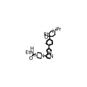 CCNC(=O)N1CCN(c2ccnn3cc(-c4ccc(C5(OCC)CCN(C(C)C)CC5)cc4)cc23)CC1